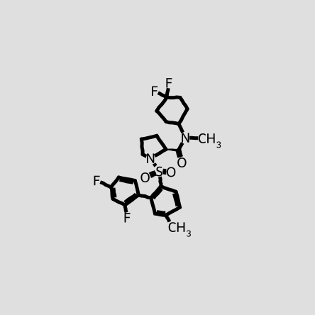 Cc1ccc(S(=O)(=O)N2CCC[C@H]2C(=O)N(C)C2CCC(F)(F)CC2)c(-c2ccc(F)cc2F)c1